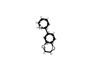 c1ccc(-c2ccc3c(c2)OCCO3)nc1